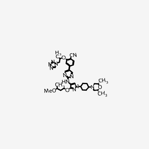 COC(C)CCOc1nn(C2CCC(N3C[C@@H](C)O[C@@H](C)C3)CC2)cc1Nc1ncc(-c2ccc(C#N)c(OC(C)Cn3cnnn3)c2)cn1